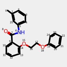 Cc1cccc(NC(=O)c2ccccc2OCCOc2ccccc2)c1